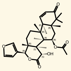 CC(=O)O[C@@H]1C[C@@]2(C)C(C)(C)C(=O)C=C[C@]2(C)[C@@]2(C)CC[C@@]3(C)[C@H](c4ccoc4)OC(=O)[C@@H](O)[C@]3(C)[C@]12C